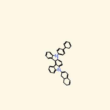 C1=CCC(c2ccc(-n3c4ccccc4c4c5c6ccccc6n(C6=CC=C7C=CCCC7C6)c5ccc43)cc2)C=C1